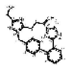 C=CCCc1nc(CS)nn1Cc1ccc(-c2ccccc2-c2nnn[nH]2)cc1